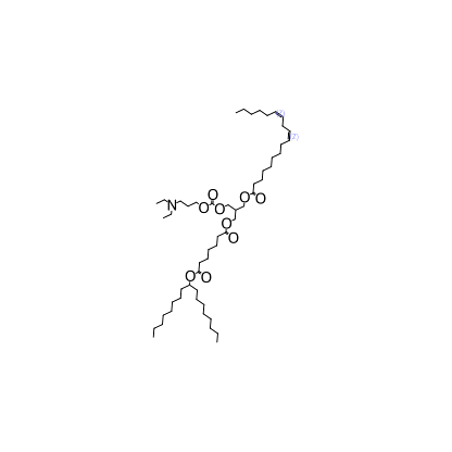 CCCCC/C=C\C/C=C\CCCCCCCC(=O)OCC(COC(=O)CCCCCC(=O)OC(CCCCCCCC)CCCCCCCC)COC(=O)OCCCN(CC)CC